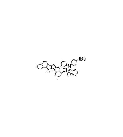 Cc1cc(N(c2ccc(C(C)(C)C)cc2)c2coc3ccccc23)c(Cl)c(-n2c3c(C)cc(C)cc3n3c4c(cc23)-c2ccc3ccccc3c2C4(C)C)c1